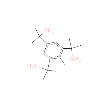 BC(C)(C)c1cc(C(B)(C)C)c(C)c(C(B)(C)C)c1